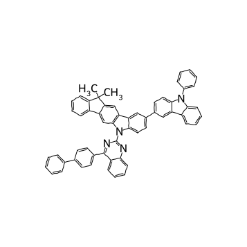 CC1(C)c2ccccc2-c2cc3c(cc21)c1cc(-c2ccc4c(c2)c2ccccc2n4-c2ccccc2)ccc1n3-c1nc(-c2ccc(-c3ccccc3)cc2)c2ccccc2n1